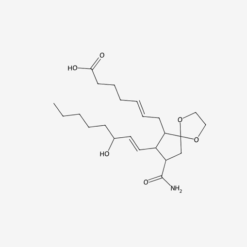 CCCCCC(O)C=CC1C(C(N)=O)CC2(OCCO2)C1CC=CCCCC(=O)O